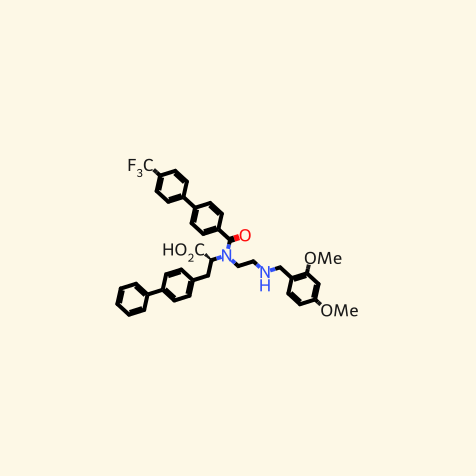 COc1ccc(CNCCN(C(=O)c2ccc(-c3ccc(C(F)(F)F)cc3)cc2)[C@@H](Cc2ccc(-c3ccccc3)cc2)C(=O)O)c(OC)c1